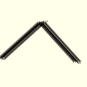 Cl.Cl.Cl.Cl.Cl.Cl.Cl.Cl.Cl.Cl.Cl.Cl.Cl.Cl.Cl.Cl.Cl.Cl.Cl.Cl.Cl.Cl.Cl.Cl.Cl.Cl.Cl.Cl.Cl.Cl.Cl.Cl.Cl.Cl.Cl.Cl.Cl.Cl.Cl.Cl.Cl.Cl.Cl.Cl.Cl.Cl.Cl.Cl.Cl.Cl.Cl.Cl.Cl.Cl.Cl.Cl.Cl.Cl.Cl.Cl.Cl.Cl.Cl.Cl.Cl.Cl.Cl.Cl.Cl.Cl.Cl.Cl.Cl.Cl.Cl.Cl.Cl.Cl.Cl.Cl.Cl.Cl.Cl.Cl.Cl.Cl.Cl.Cl.Cl.Cl.Cl.Cl.Cl.Cl.Cl.[Cl-].[Li+]